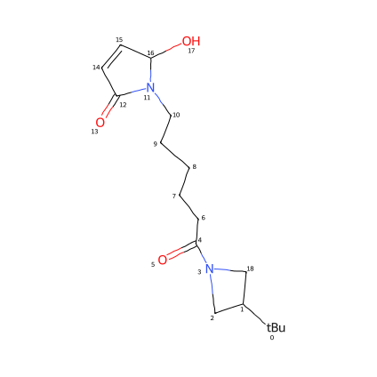 CC(C)(C)C1CN(C(=O)CCCCCN2C(=O)C=CC2O)C1